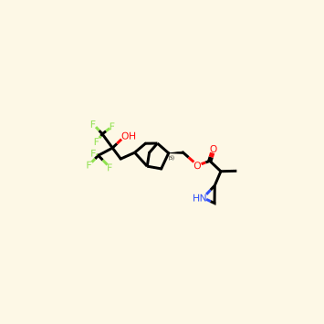 CC(C(=O)OC[C@H]1CC2CC1CC2CC(O)(C(F)(F)F)C(F)(F)F)C1CN1